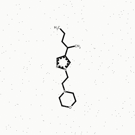 CCCC(C)c1cnn(CCN2CCOCC2)c1